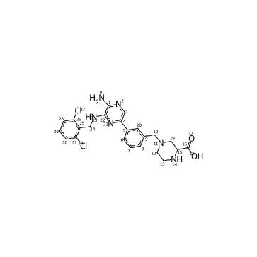 Nc1ncc(-c2cccc(CN3CCNC(C(=O)O)C3)c2)nc1NCc1c(Cl)cccc1Cl